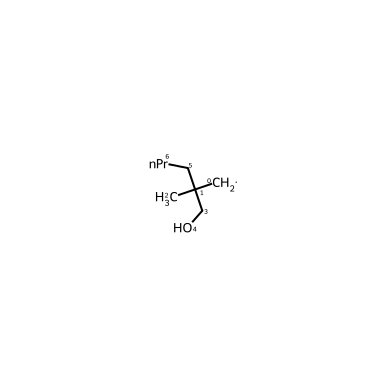 [CH2]C(C)(CO)CCCC